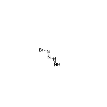 N=N/N=N/Br